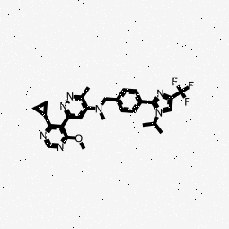 COc1ncnc(C2CC2)c1-c1cc(N(C)Cc2ccc(-c3nc(C(F)(F)F)cn3C(C)C)cc2)c(C)nn1